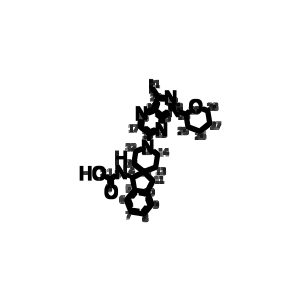 O=C(O)N[C@@H]1c2ccccc2CC12CCN(c1cnc3c(I)nn(C4CCCCO4)c3n1)CC2